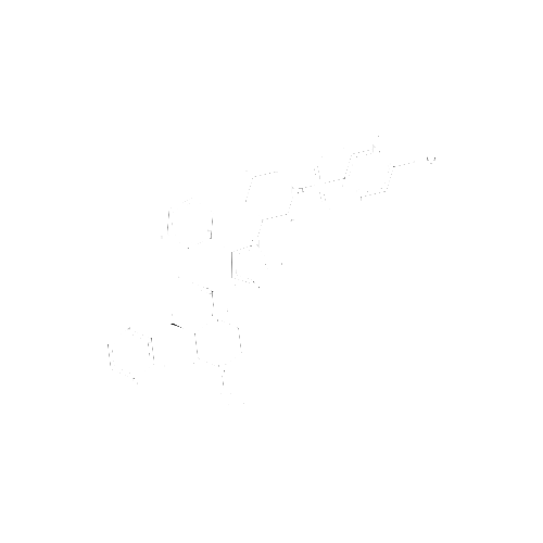 COc1ccc(S(=O)(=O)N2CCCC(n3cnc(C(=O)N4CCN(C(=O)O)C[C@H]4Cc4ccccc4)c3-c3ccccc3)C2)cn1